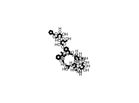 CCC(c1ccccc1)C1NC(=O)CNC(=O)C(CO)NC(=O)C(C(O)C2CNC(=N)N2C2OC(CO)C(O)C(O)C2O)NC(=O)C(C(O)C2CNC(=N)N2)NC(=O)C(Cc2ccc(OC3OC(CO)C(OC4OC5COC(C6CCCC6)OC5C(O)C4O)C(O)C3O)cc2)NC1=O